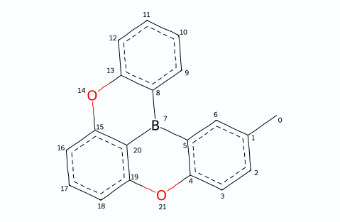 Cc1ccc2c(c1)B1c3ccccc3Oc3cccc(c31)O2